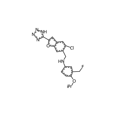 CC(C)Oc1ccc(NCc2cc3oc(-c4nnn[nH]4)cc3cc2Cl)cc1CF